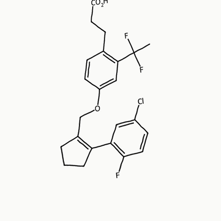 CC(F)(F)c1cc(OCC2=C(c3cc(Cl)ccc3F)CCC2)ccc1CCC(=O)O